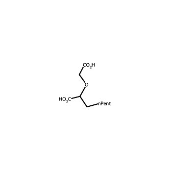 CCCCCCC(OCC(=O)O)C(=O)O